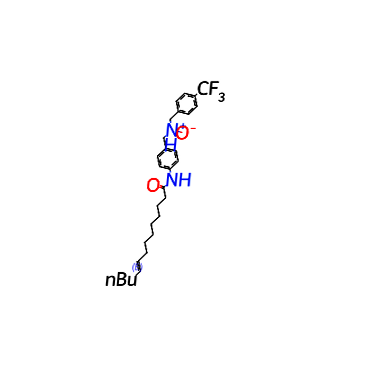 CCCC/C=C/CCCCCCCC(=O)Nc1ccc(C[NH+]([O-])Cc2ccc(C(F)(F)F)cc2)cc1